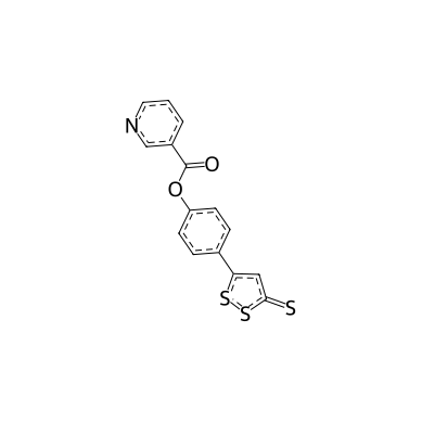 O=C(Oc1ccc(-c2cc(=S)ss2)cc1)c1cccnc1